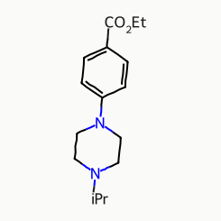 CCOC(=O)c1ccc(N2CCN(C(C)C)CC2)cc1